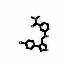 CN(C)C(=O)c1cccc(NCc2c[nH]nc2-c2ccc(Cl)cc2)c1